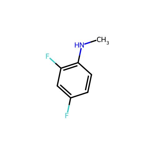 CNc1ccc(F)cc1F